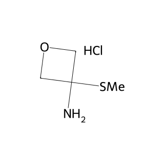 CSC1(N)COC1.Cl